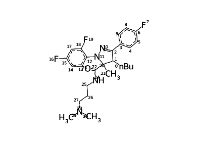 CCCCC1C(c2ccc(F)cc2)=NN(c2ccc(F)cc2F)C1(C)C(=O)NCCCN(C)C